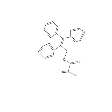 C=C(C)C(=O)OCC(=C(c1ccccc1)c1ccccc1)c1ccccc1